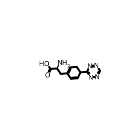 N[C@@H](CC1=CCC(c2nncnn2)C=C1)C(=O)O